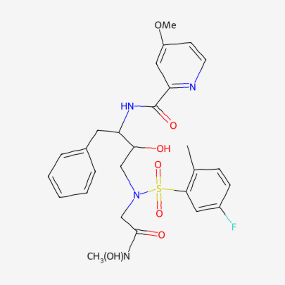 COc1ccnc(C(=O)NC(Cc2ccccc2)C(O)CN(CC(=O)N(C)O)S(=O)(=O)c2cc(F)ccc2C)c1